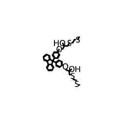 CSCCSCC(O)COc1ccc(C2(c3ccc(OCC(O)CSCCSC)cc3)c3ccccc3-c3ccccc32)cc1